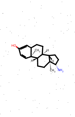 C[C@]12CC[C@H]3[C@@H](CCC4C=C(O)C=C[C@@]43C)[C@@H]1CC[C@@H]2N